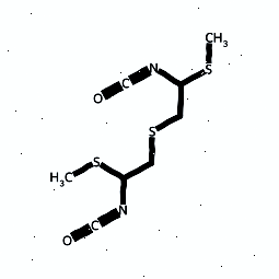 CSC(CSCC(N=C=O)SC)N=C=O